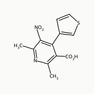 Cc1nc(C)c([N+](=O)[O-])c(-c2ccsc2)c1C(=O)O